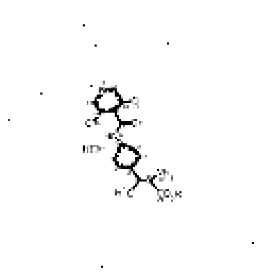 CC(c1ccc(NC(=O)c2c(Cl)cncc2Cl)cc1)C(N)C(=O)O.Cl